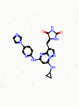 O=C1NC(=O)/C(=C/c2cnn3c(NC4CC4)cc(Nc4ccc(-n5ccnc5)cn4)nc23)N1